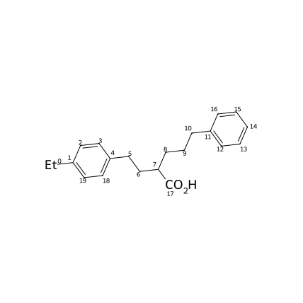 CCc1ccc(CCC(CCCc2ccccc2)C(=O)O)cc1